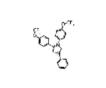 FC(F)(F)Oc1ccc(N2CN(c3ccccc3)CN2c2ccc(OC(F)(F)F)cc2)cc1